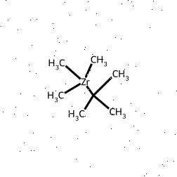 C[C](C)(C)[Zr]([CH3])([CH3])[CH3]